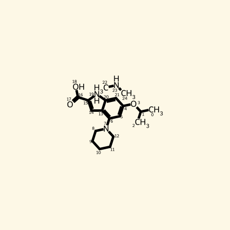 CC(C)Oc1cc(N2CCCCC2)c2cc(C(=O)O)[nH]c2c1.CNC